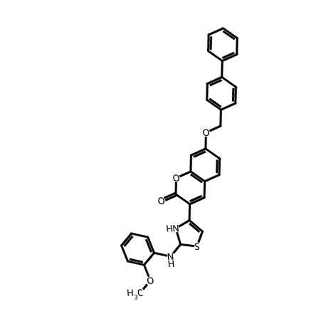 COc1ccccc1NC1NC(c2cc3ccc(OCc4ccc(-c5ccccc5)cc4)cc3oc2=O)=CS1